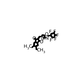 CCc1cc2c(cc1CC)C(=O)C(=Cc1cc3oc(-c4c(F)c(F)c(F)c(F)c4F)nc3o1)C2=O